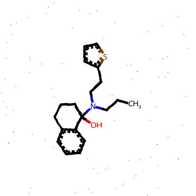 CCCN(CCc1cccs1)C1(O)CCCc2ccccc21